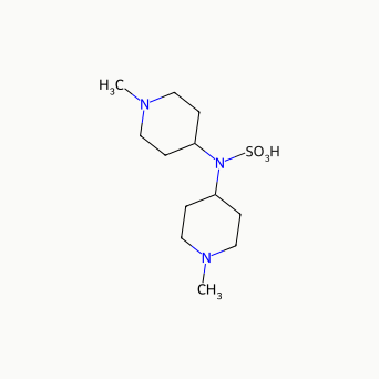 CN1CCC(N(C2CCN(C)CC2)S(=O)(=O)O)CC1